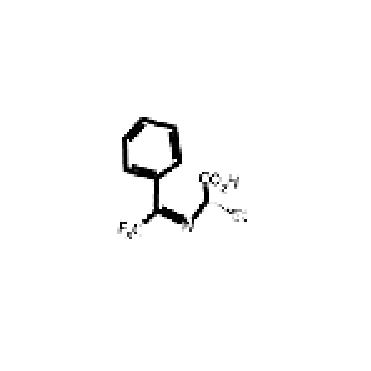 CC[C@H](/N=C(\c1ccccc1)C(F)(F)F)C(=O)O